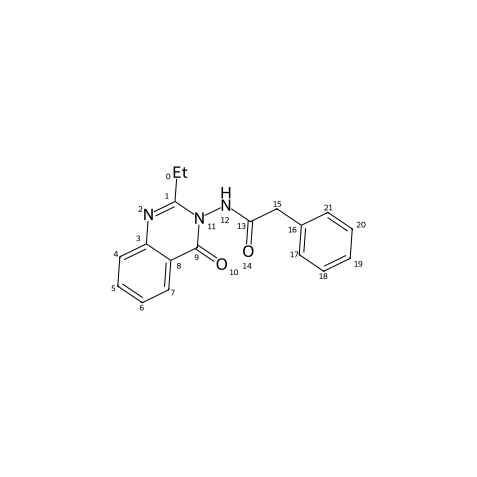 CCc1nc2ccccc2c(=O)n1NC(=O)Cc1ccccc1